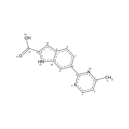 Cc1ccnc(-c2ccc3cc(C(=O)O)[nH]c3c2)n1